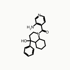 Nc1cnccc1C(=O)N1CCC(O)(c2ccccc2)C2CCCCC21